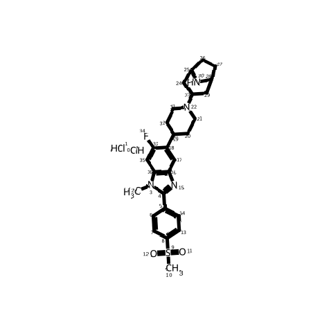 Cl.Cl.Cn1c(-c2ccc(S(C)(=O)=O)cc2)nc2cc(C3CCN(C4CC5CCC(C4)N5)CC3)c(F)cc21